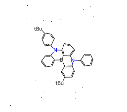 CC(C)(C)c1ccc(N2c3ccccc3B3c4cc(C(C)(C)C)ccc4N(c4ccccc4)c4cccc2c43)cc1